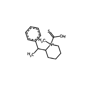 CC(c1ccccc1)C1CCCC[N+]1(C)C(O)=S